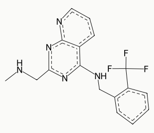 CNCc1nc(NCc2ccccc2C(F)(F)F)c2cccnc2n1